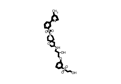 Cc1ccnc(-c2cccc(S(=O)(=O)N3CCC4(CC3)C[C@@H](NC[C@H](O)COc3cccc(S(=O)(=O)CCO)c3)CO4)c2)c1